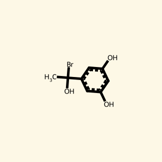 CC(O)(Br)c1cc(O)cc(O)c1